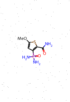 COc1cc(P(N)(N)=O)c(C(N)=O)s1